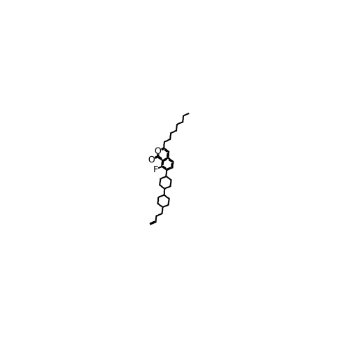 C=CCCC1CCC(C2CCC(c3ccc4cc(CCCCCCCC)oc(=O)c4c3F)CC2)CC1